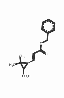 CC1(C)[C@H](C(=O)O)[C@@H]1C=CC(=O)OCc1ccccc1